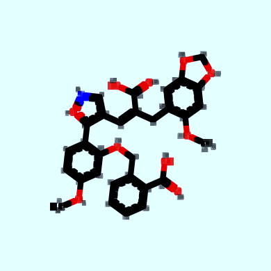 COc1ccc(-c2oncc2C=C(Cc2cc3c(cc2OC)OCO3)C(=O)O)c(OCc2ccccc2C(=O)O)c1